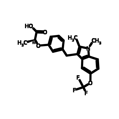 Cc1c(Cc2cccc(O[C@@H](C)C(=O)O)c2)c2cc(OC(F)(F)F)ccc2n1C